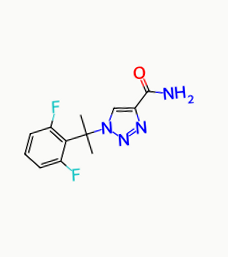 CC(C)(c1c(F)cccc1F)n1cc(C(N)=O)nn1